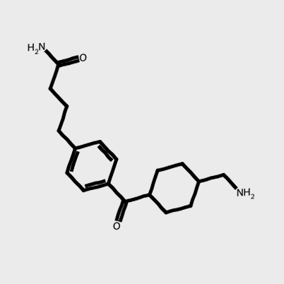 NCC1CCC(C(=O)c2ccc(CCCC(N)=O)cc2)CC1